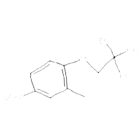 CCC[CH]Cc1ccc(OCC(O)(CC)CC)c(C)c1